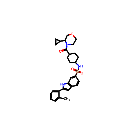 Cc1ccccc1-c1cc2ccc(S(=O)(=O)NC3CCC(C(=O)N4CCOCC4C4CC4)CC3)cc2[nH]1